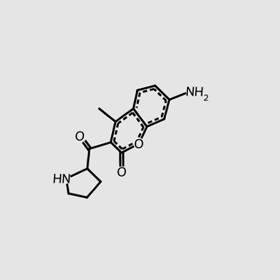 Cc1c(C(=O)C2CCCN2)c(=O)oc2cc(N)ccc12